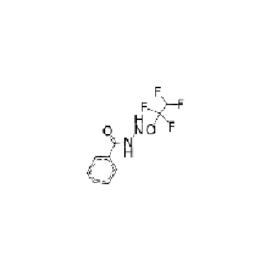 O=C(NNOC(F)(F)C(F)F)c1ccccc1